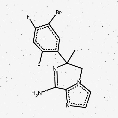 CC1(c2cc(Br)c(F)cc2F)Cn2ccnc2C(N)=N1